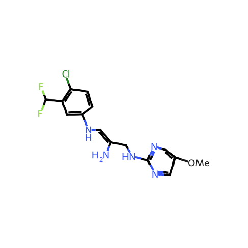 COc1cnc(NC/C(N)=C/Nc2ccc(Cl)c(C(F)F)c2)nc1